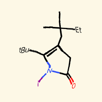 CCC(C)(C)C1=C(C(C)(C)C)N(I)C(=O)C1